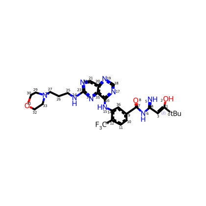 CC(C)(C)/C(O)=C/C(=N)NC(=O)c1ccc(C(F)(F)F)c(Nc2ncnc3cnc(NCCCN4CCOCC4)nc23)c1